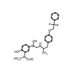 CC(Cc1ccc(OCC(F)(F)c2ccccc2)cc1)NC[C@H](O)c1ccc(O)c(N(C=O)C(=O)O)c1